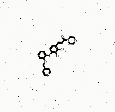 O=C(C=Cc1ccc(Sc2ccccc2OCc2ccncc2)c(C(F)(F)F)c1C(F)(F)F)N1CCOCC1